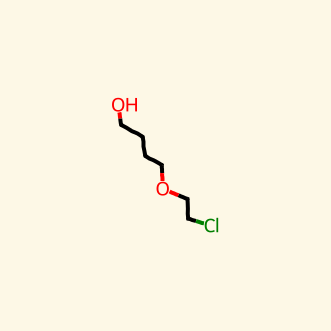 OCCCCOCCCl